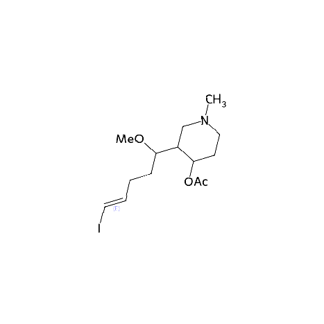 COC(CC/C=C/I)C1CN(C)CCC1OC(C)=O